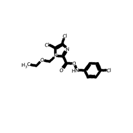 CCOCn1c(C(=O)ONc2ccc(Cl)cc2)nc(Cl)c1Cl